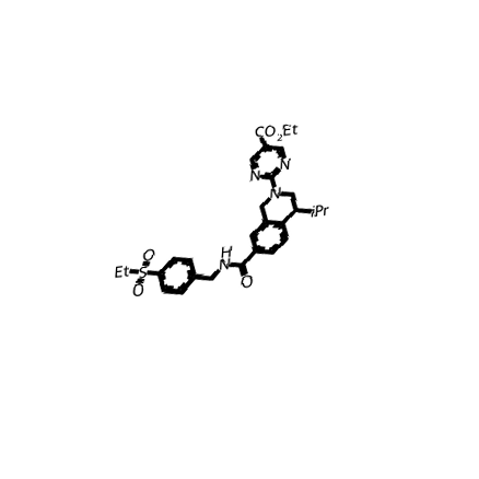 CCOC(=O)c1cnc(N2Cc3cc(C(=O)NCc4ccc(S(=O)(=O)CC)cc4)ccc3C(C(C)C)C2)nc1